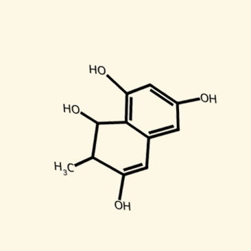 CC1C(O)=Cc2cc(O)cc(O)c2C1O